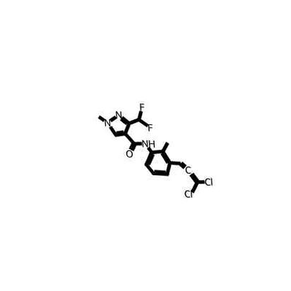 Cc1c(C=C=C(Cl)Cl)cccc1NC(=O)c1cn(C)nc1C(F)F